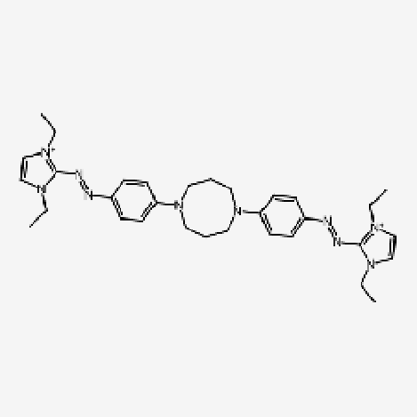 CCn1cc[n+](CC)c1N=Nc1ccc(N2CCCN(c3ccc(N=Nc4n(CC)cc[n+]4CC)cc3)CCC2)cc1